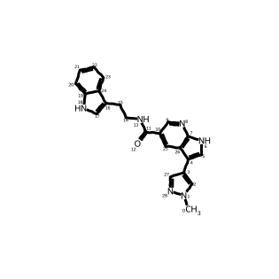 Cn1cc(-c2c[nH]c3ncc(C(=O)NCCc4c[nH]c5ccccc45)cc23)cn1